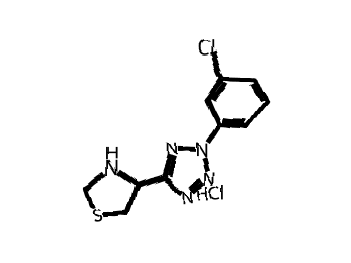 Cl.Clc1cccc(-n2nnc(C3CSCN3)n2)c1